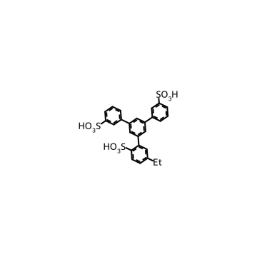 CCc1ccc(S(=O)(=O)O)c(-c2cc(-c3cccc(S(=O)(=O)O)c3)cc(-c3cccc(S(=O)(=O)O)c3)c2)c1